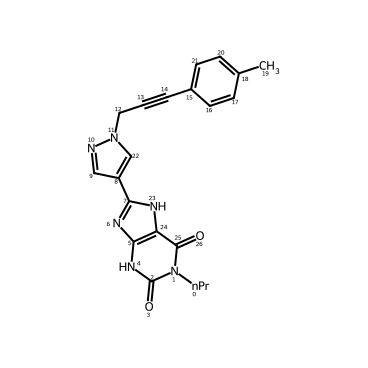 CCCn1c(=O)[nH]c2nc(-c3cnn(CC#Cc4ccc(C)cc4)c3)[nH]c2c1=O